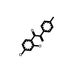 C=C(C(=O)c1ccc(Cl)cc1Cl)c1ccc(C)cc1